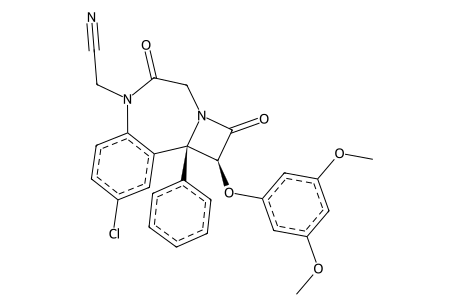 COc1cc(OC)cc(O[C@@H]2C(=O)N3CC(=O)N(CC#N)c4ccc(Cl)cc4[C@@]23c2ccccc2)c1